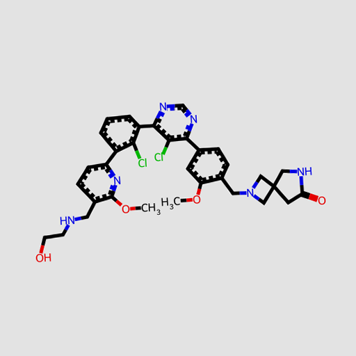 COc1cc(-c2ncnc(-c3cccc(-c4ccc(CNCCO)c(OC)n4)c3Cl)c2Cl)ccc1CN1CC2(CNC(=O)C2)C1